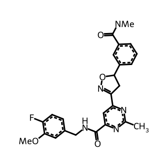 CNC(=O)c1cccc(C2CC(c3cc(C(=O)NCc4ccc(F)c(OC)c4)nc(C)n3)=NO2)c1